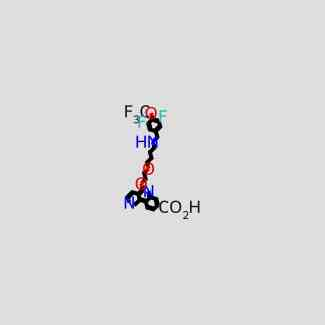 O=C(O)c1ccc2c(c1)nc(OCCOCCCCNCc1cc(F)c(OC(F)(F)F)c(F)c1)c1ccncc12